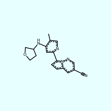 Cc1cnc(-c2ccc3cc(C#N)cnn23)cc1NC1CCOC1